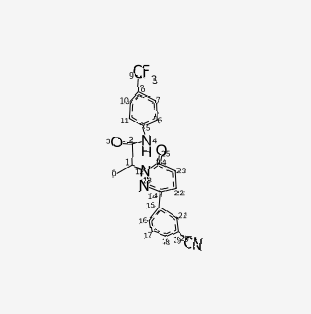 CC(C(=O)Nc1ccc(C(F)(F)F)cc1)n1nc(-c2cccc(C#N)c2)ccc1=O